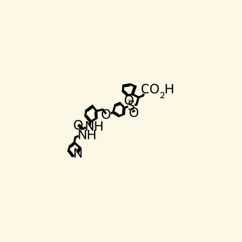 O=C(O)CC(CS(=O)(=O)c1ccc(OCc2cccc(NC(=O)NCc3cccnc3)c2)cc1)c1ccccc1